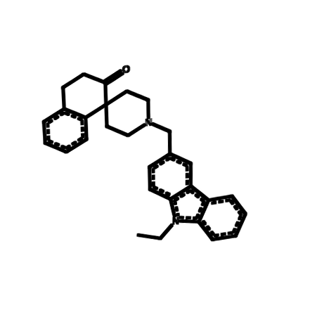 CCn1c2ccccc2c2cc(CN3CCC4(CC3)C(=O)CCc3ccccc34)ccc21